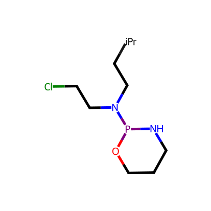 CC(C)CCN(CCCl)P1NCCCO1